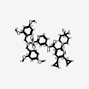 COc1ccc(CN(Cc2ccc(OC)cc2OC)S(=O)(=O)c2cc(NC(=O)c3cc(C4CC4)c(C4CC4)nc3N3CCC(F)(F)CC3)ccn2)c(OC)c1